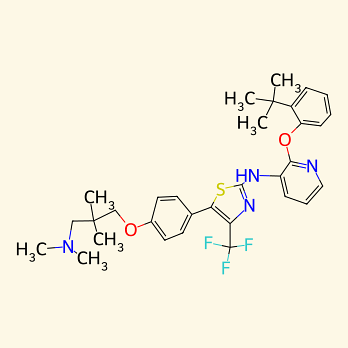 CN(C)CC(C)(C)COc1ccc(-c2sc(Nc3cccnc3Oc3ccccc3C(C)(C)C)nc2C(F)(F)F)cc1